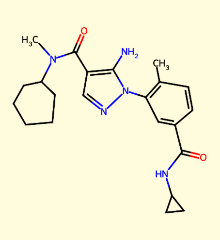 Cc1ccc(C(=O)NC2CC2)cc1-n1ncc(C(=O)N(C)C2CCCCC2)c1N